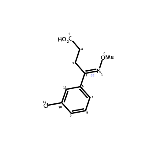 CO/N=C(\CCC(=O)O)c1cccc(Cl)c1